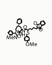 CNC(=O)C(c1ccccc1)N1CC[C@@H](C2C=CC=CC2)C[C@H](NC(=O)C(CCCCN2C(=O)c3ccccc3C2=O)SCc2ccc(OC)cc2)C1=O